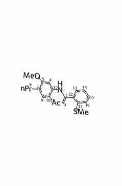 C=C(Nc1cc(OC)c(CCC)cc1C(C)=O)c1ccccc1SC